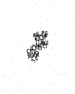 O=C(Nc1c(F)cccc1F)c1cc(NC(=O)[C@H]2[C@H](c3cc(C(F)(F)F)cc(C(F)(F)F)c3)C2(Cl)Cl)ccc1Cl